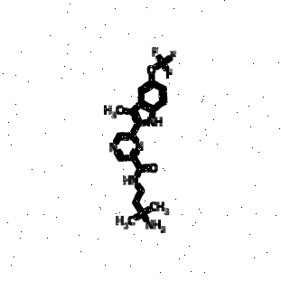 Cc1c(-c2cncc(C(=O)NCCC(C)(C)N)n2)[nH]c2ccc(OC(F)(F)F)cc12